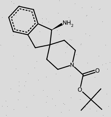 CC(C)(C)OC(=O)N1CCC2(CC1)Cc1ccccc1[C@H]2N